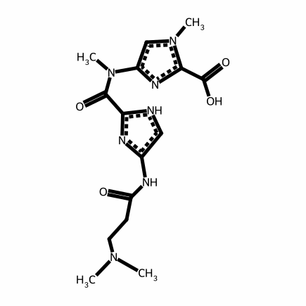 CN(C)CCC(=O)Nc1c[nH]c(C(=O)N(C)c2cn(C)c(C(=O)O)n2)n1